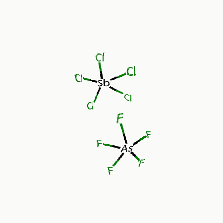 F[As](F)(F)(F)F.[Cl][Sb]([Cl])([Cl])([Cl])[Cl]